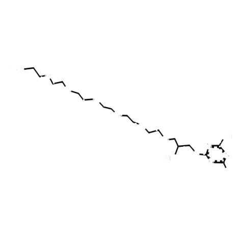 CCCCCCCCCCCCOCCOCCOCCOCCOCCOCC(O)CSc1nc(S)nc(S)n1